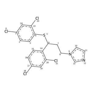 Clc1ccc(SC(CCn2ccnc2)c2ccc(Cl)cc2Cl)c(Cl)c1